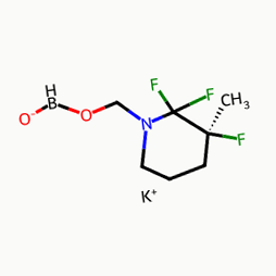 C[C@]1(F)CCCN(COB[O-])C1(F)F.[K+]